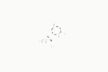 O=S(=O)(NO)c1cncc(Cl)n1